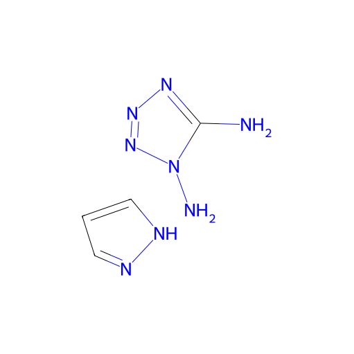 Nc1nnnn1N.c1cn[nH]c1